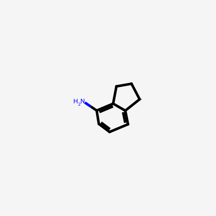 Nc1cccc2c1CC[CH]2